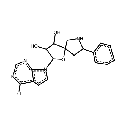 OC1C(n2ccc3c(Cl)ncnc32)OC2(CNC(c3ccccc3)C2)C1O